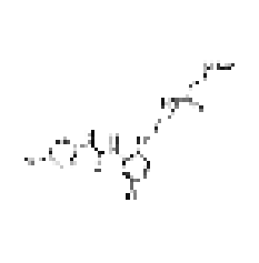 CC(=O)NCCC(=O)NCCCOc1ccc(Cl)cc1NC(=O)Nc1ccc(C#N)cn1